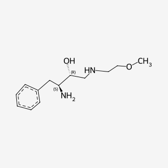 COCCNC[C@@H](O)[C@@H](N)Cc1ccccc1